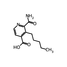 CCCCCc1c(C(=O)O)ccnc1C(N)=O